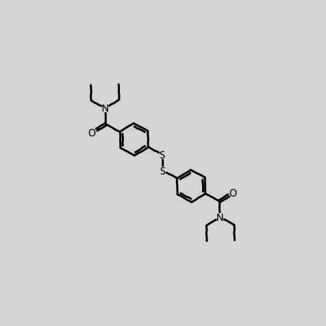 CCN(CC)C(=O)c1ccc(SSc2ccc(C(=O)N(CC)CC)cc2)cc1